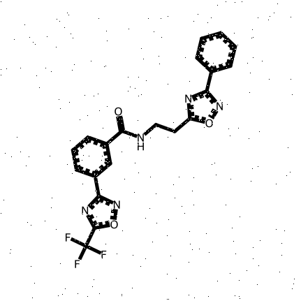 O=C(NCCc1nc(-c2ccccc2)no1)c1cccc(-c2noc(C(F)(F)F)n2)c1